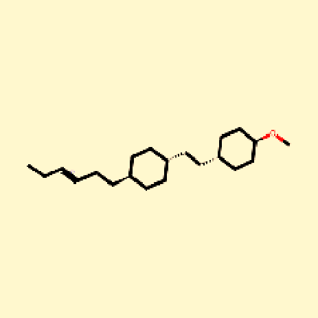 CC/C=C/CC[C@H]1CC[C@H](CC[C@H]2CC[C@H](OC)CC2)CC1